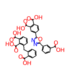 O=C(O)c1cccc(-c2nnc(-c3ccc(C(=O)O)c(C(=O)O)c3)o2)c1.O=C(O)c1ccccc1Cc1cccc(C(=O)O)c1C(=O)O